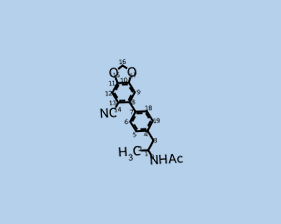 CC(=O)NC(C)Cc1ccc(-c2cc3c(cc2C#N)OCO3)cc1